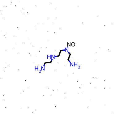 NCCNCCN(CCN)N=O